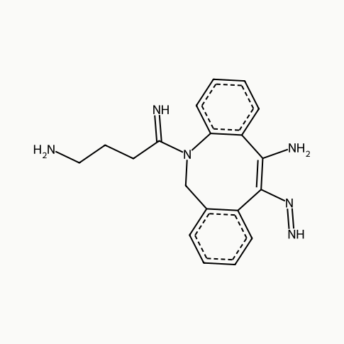 N=N/C1=C(\N)c2ccccc2N(C(=N)CCCN)Cc2ccccc21